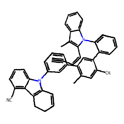 C#C/C=C\c1c(C)c2ccccc2n1-c1ccccc1-c1cc(-c2cccc(-n3c4c(c5c(C#N)cccc53)CCC=C4)c2)c(C)cc1C#N